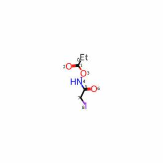 CCC(=O)ONC(=O)CI